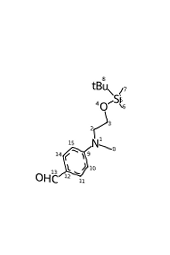 CN(CCO[Si](C)(C)C(C)(C)C)c1ccc(C=O)cc1